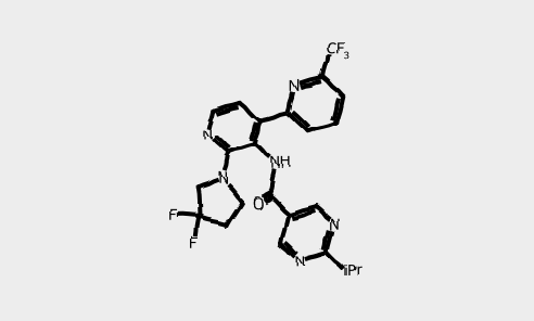 CC(C)c1ncc(C(=O)Nc2c(-c3cccc(C(F)(F)F)n3)ccnc2N2CCC(F)(F)C2)cn1